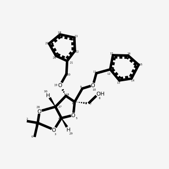 CC1(C)O[C@H]2O[C@](CO)(COCc3ccccc3)[C@@H](OCc3ccccc3)[C@H]2O1